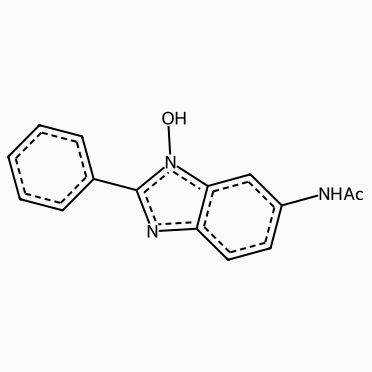 CC(=O)Nc1ccc2nc(-c3ccccc3)n(O)c2c1